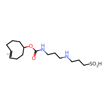 O=C(NCCCNCCCS(=O)(=O)O)OC1CC/C=C/CCC1